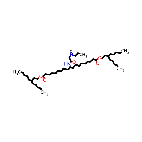 CCCCCC(CCCCC)CCOC(=O)CCCCCCCCC(CCCCCCCCC(=O)OCCC(CCCCC)CCCCC)NC(=O)CN(C)CCC